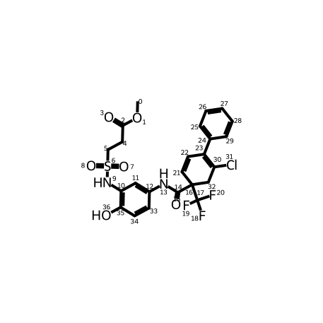 COC(=O)CCS(=O)(=O)Nc1cc(NC(=O)C2(C(F)(F)F)C=CC(c3ccccc3)=C(Cl)C2)ccc1O